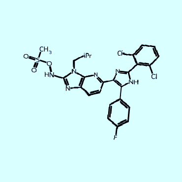 CC(C)Cn1c(NOS(C)(=O)=O)nc2ccc(-c3nc(-c4c(Cl)cccc4Cl)[nH]c3-c3ccc(F)cc3)nc21